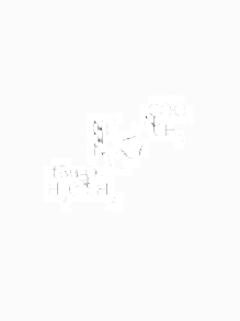 CN(Cc1ccc2c(c1)[C@H](N=[N+]=N)[C@@H](CO[Si](C)(C)C(C)(C)C)C2)C(=O)[O-]